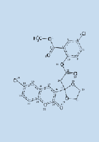 COC(=O)c1cc(Cl)ccc1OC(=O)CC1(c2cc3cc(Cl)ccc3oc2=O)OCCO1